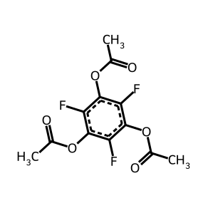 CC(=O)Oc1c(F)c(OC(C)=O)c(F)c(OC(C)=O)c1F